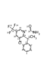 CC(c1ccccc1)c1ncc(C(F)(F)F)cc1Cl.NC=O